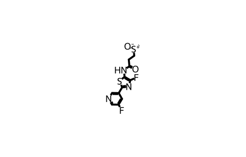 C[S+]([O-])CCC(=O)Nc1sc(-c2cncc(F)c2)nc1F